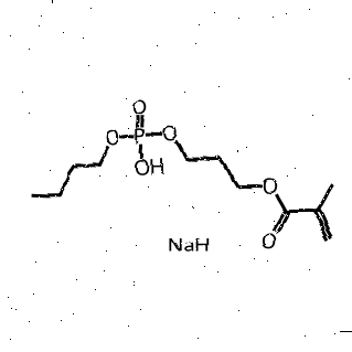 C=C(C)C(=O)OCCCOP(=O)(O)OCCCC.[NaH]